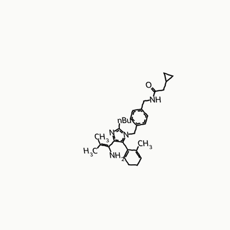 CCCCc1nc(C(N)=C(C)C)c(C2=CCCC=C2C)n1Cc1ccc(CNC(=O)CC2CC2)cc1